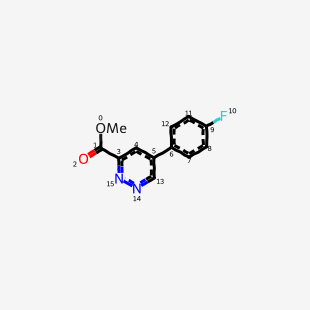 COC(=O)c1cc(-c2ccc(F)cc2)cnn1